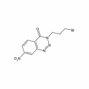 O=c1c2ccc([N+](=O)[O-])cc2nnn1CCCBr